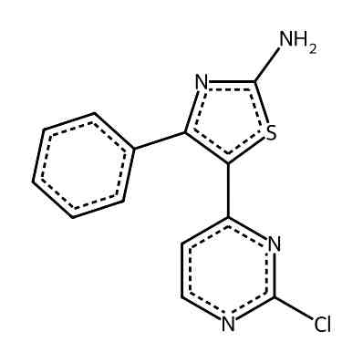 Nc1nc(-c2ccccc2)c(-c2ccnc(Cl)n2)s1